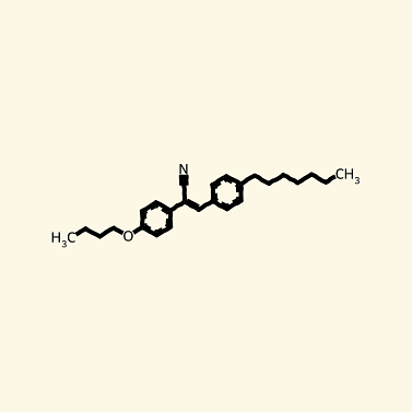 CCCCCCCc1ccc(C=C(C#N)c2ccc(OCCCC)cc2)cc1